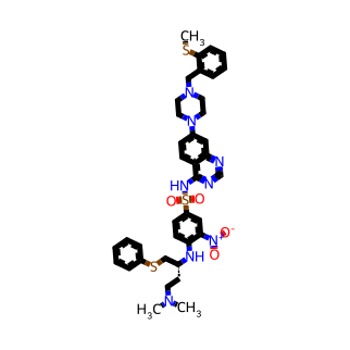 CSc1ccccc1CN1CCN(c2ccc3c(NS(=O)(=O)c4ccc(N[C@H](CCN(C)C)CSc5ccccc5)c([N+](=O)[O-])c4)ncnc3c2)CC1